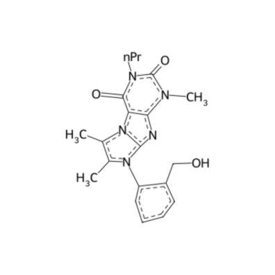 CCCn1c(=O)c2c(nc3n(-c4ccccc4CO)c(C)c(C)n23)n(C)c1=O